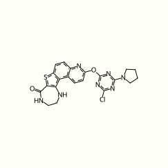 O=C1NCCNc2c1sc1ccc3nc(Oc4nc(Cl)nc(N5CCCC5)n4)ccc3c21